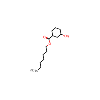 CCCCCCCCCCCCCCCCOC(=O)C1CCCC(O)C1